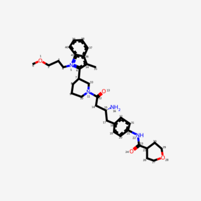 COCCCn1c(C2CCCN(C(=O)C[C@H](N)Cc3ccc(NC(=O)C4CCOCC4)cc3)C2)c(C)c2ccccc21